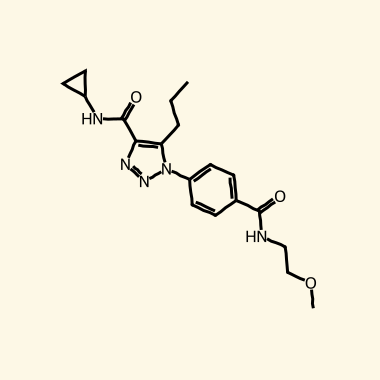 CCCc1c(C(=O)NC2CC2)nnn1-c1ccc(C(=O)NCCOC)cc1